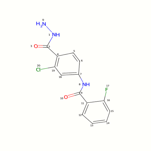 NNC(=O)c1ccc(NC(=O)c2ccccc2F)cc1Cl